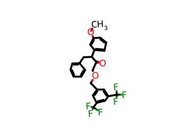 COc1cccc(C(Cc2ccccc2)C(=O)COCc2cc(C(F)(F)F)cc(C(F)(F)F)c2)c1